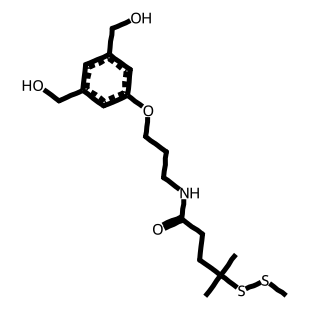 CSSC(C)(C)CCC(=O)NCCCOc1cc(CO)cc(CO)c1